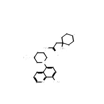 N#Cc1ccc(N2C[C@@H](NC(=O)CC3(N)CCCCC3)C[C@@H](C(F)(F)F)C2)c2cccnc12